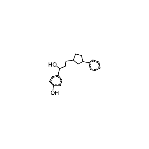 Oc1ccc(C(O)CCC2CCC(c3ccccc3)C2)cc1